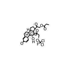 CCC(=O)OCC(=O)[C@@]1(OC(=O)CC)[C@@H](C)C[C@H]2[C@@H]3CCC4=CC(=O)C=C[C@]4(C)[C@@]3(Cl)[C@@H](O)C[C@@]21C.FC(Cl)(Cl)Cl